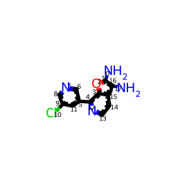 Nc1oc2c(-c3cncc(Cl)c3)nccc2c1N